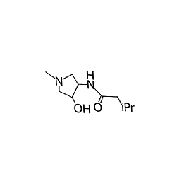 CC(C)CC(=O)NC1CN(C)CC1O